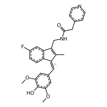 COc1cc(/C=C2/C(C)=C(CNC(=O)Cc3ccncc3)c3cc(F)ccc32)cc(OC)c1O